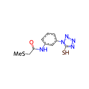 CSCC(=O)Nc1cccc(-n2nnnc2S)c1